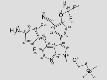 C[Si](C)(C)CCOCn1cc(-c2ccc(OC(F)(F)F)c(C#N)c2)c2c(Oc3c(F)cc(N)cc3F)ccnc21